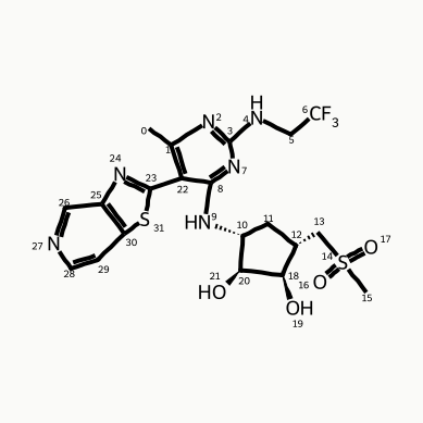 Cc1nc(NCC(F)(F)F)nc(N[C@@H]2C[C@H](CS(C)(=O)=O)[C@@H](O)[C@H]2O)c1-c1nc2cnccc2s1